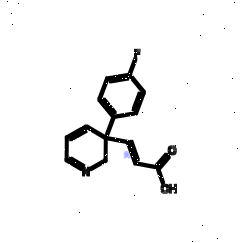 O=C(O)/C=C/C1(c2ccc(F)cc2)C=CC=NC1